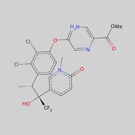 C=C(/C=N\C(=C/N)C(=O)OC)Oc1ccc([C@@H](C)[C@@](O)(c2ccc(=O)n(C)c2)C(F)(F)F)c(Cl)c1Cl